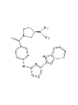 CN(C)[C@@H]1CCN(C(=O)c2ccc(Nc3cncc(-c4cc5ccccc5[nH]4)n3)cc2)C1